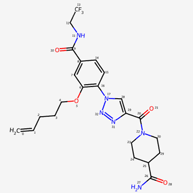 C=CCCCOc1cc(C(=O)NCC(F)(F)F)ccc1-n1cc(C(=O)N2CCC(C(N)=O)CC2)nn1